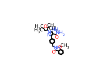 COc1ccccc1C(=O)NCc1ccc(-c2nn(C3CC(C)(C)OC3(C)C)c(N)c2C(N)=O)cc1